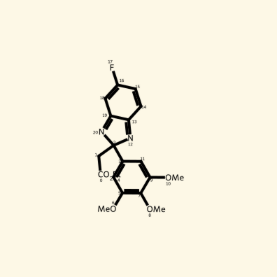 CCOC(=O)CC1(c2cc(OC)c(OC)c(OC)c2)N=c2ccc(F)cc2=N1